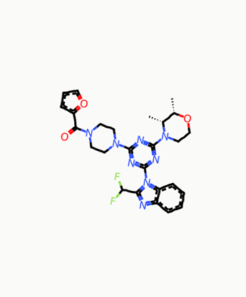 C[C@@H]1OCCN(c2nc(N3CCN(C(=O)c4ccco4)CC3)nc(-n3c(C(F)F)nc4ccccc43)n2)[C@@H]1C